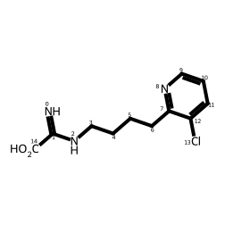 N=C(NCCCCc1ncccc1Cl)C(=O)O